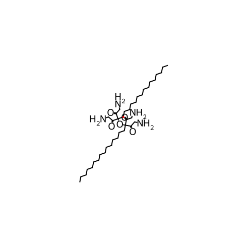 CCCCCCCCCCCCCCCC(OC(CCCCCCCCCCCCCCC)(C(=O)CN)C(=O)CN)(C(=O)CN)C(=O)CN